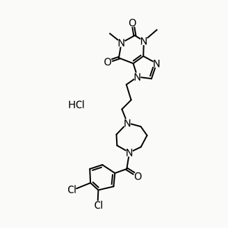 Cl.Cn1c(=O)c2c(ncn2CCCN2CCCN(C(=O)c3ccc(Cl)c(Cl)c3)CC2)n(C)c1=O